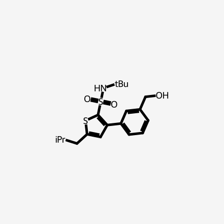 CC(C)Cc1cc(-c2cccc(CO)c2)c(S(=O)(=O)NC(C)(C)C)s1